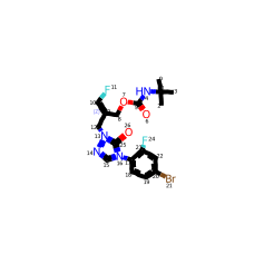 CC(C)(C)NC(=O)OC/C(=C\F)Cn1ncn(-c2ccc(Br)cc2F)c1=O